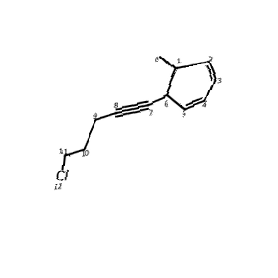 CC1C=CC=CC1C#CCCCCl